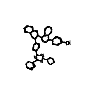 N#Cc1ccc(-c2ccc(-c3cc4ccccc4cc3-c3ccc(-c4nc(-c5ccccc5)nc(-c5ccccc5)n4)cc3)c3ccccc23)cc1